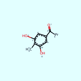 Cc1c(O)cc(C(=O)C(C)C)cc1O